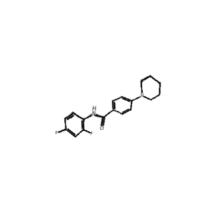 O=C(Nc1ccc(F)cc1F)c1ccc(N2CCCCC2)cc1